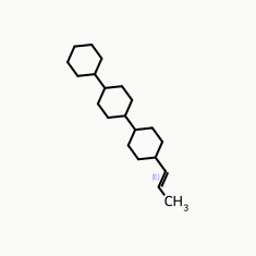 C/C=C/C1CCC(C2CCC(C3CCCCC3)CC2)CC1